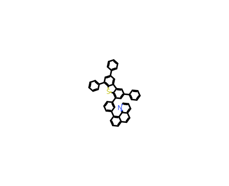 c1ccc(-c2cc(-c3ccccc3)c3sc4c(-c5cccc(-c6cccc7ccc8cccnc8c67)c5)cc(-c5ccccc5)cc4c3c2)cc1